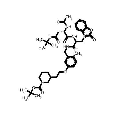 CC(=O)N[C@@H](CC(=O)OC(C)(C)C)C(=O)NC(Cn1c(=O)oc2ccccc21)C(=O)NCc1cc(OCCC2CCCN(C(=O)OC(C)(C)C)C2)ccc1C